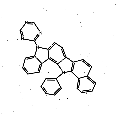 c1ccc(-n2c3c4ccccc4ccc3c3ccc4c(c5ccccc5n4-c4ncncn4)c32)cc1